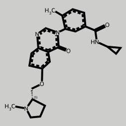 Cc1ccc(C(=O)NC2CC2)cc1-n1cnc2ccc(OC[C@@H]3CCCN3C)cc2c1=O